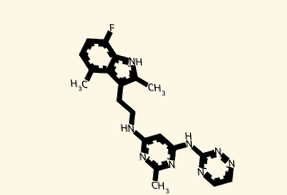 Cc1nc(NCCc2c(C)[nH]c3c(F)ccc(C)c23)cc(Nc2nccnn2)n1